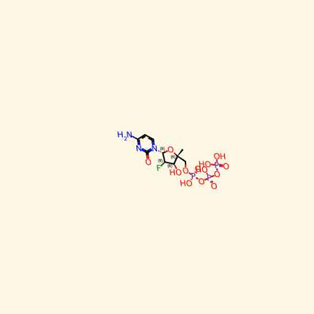 C[C@]1(COP(=O)(O)OP(=O)(O)OP(=O)(O)O)O[C@@H](n2ccc(N)nc2=O)[C@H](F)[C@@H]1O